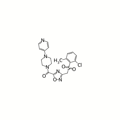 Cc1cccc(Cl)c1S(=O)(=O)Cc1noc(C(=O)N2CCN(c3ccncc3)CC2)n1